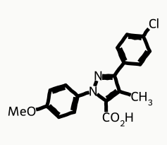 COc1ccc(-n2nc(-c3ccc(Cl)cc3)c(C)c2C(=O)O)cc1